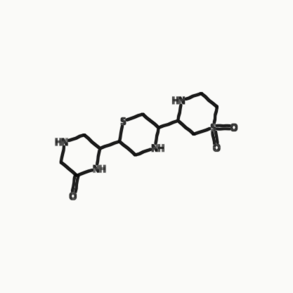 O=C1CNCC(C2CNC(C3CS(=O)(=O)CCN3)CS2)N1